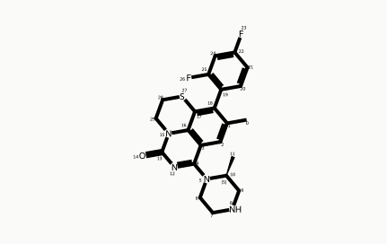 Cc1cc2c(N3CCNC[C@@H]3C)nc(=O)n3c2c(c1-c1ccc(F)cc1F)SCC3